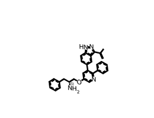 C=C(C)c1n[nH]c2ccc(-c3cc(OC[C@@H](N)Cc4ccccc4)cnc3-c3ccccc3)cc12